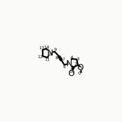 COC1CCN(CC#CCN2CCCC2)C1=O